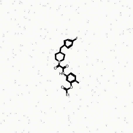 CCC(=O)Oc1cc(NC(=O)C(=O)N2CCC(Cc3ccc(F)cc3)CC2)ccc1C